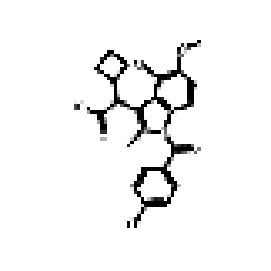 COc1ccc2c(c1Cl)c(C(C(=O)O)C1CCC1)c(C)n2C(=O)c1ccc(Cl)cc1